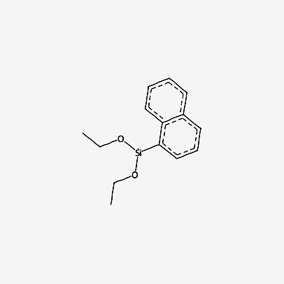 CCO[Si](OCC)c1cccc2ccccc12